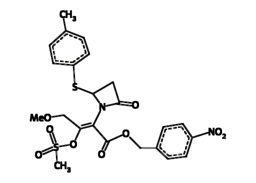 COCC(OS(C)(=O)=O)=C(C(=O)OCc1ccc([N+](=O)[O-])cc1)N1C(=O)CC1Sc1ccc(C)cc1